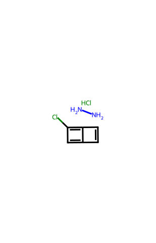 Cl.Clc1cc2ccc1-2.NN